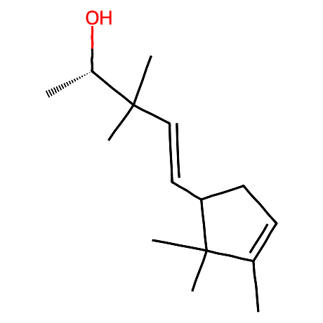 CC1=CCC(/C=C/C(C)(C)[C@H](C)O)C1(C)C